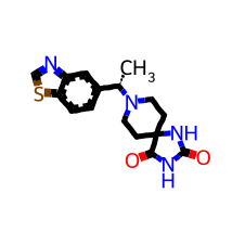 C[C@@H](c1ccc2scnc2c1)N1CCC2(CC1)NC(=O)NC2=O